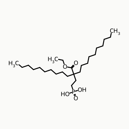 CCCCCCCCCCC(CCCCCCCCCC)(CCP(=O)(O)O)C(=O)OCC